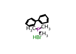 Br.CP(C)C.c1ccc(-c2ccccc2)cc1